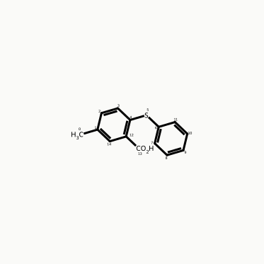 Cc1ccc(Sc2ccccc2)c(C(=O)O)c1